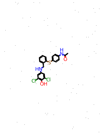 CC(=O)Nc1ccc(Sc2ccccc2CNc2cc(Cl)c(O)c(Cl)c2)cc1